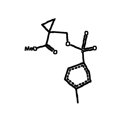 COC(=O)C1(COS(=O)(=O)c2ccc(C)cc2)CC1